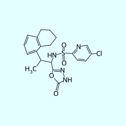 CC(c1cccc2c1CCCC2)C(NS(=O)(=O)c1ccc(Cl)cn1)c1n[nH]c(=O)o1